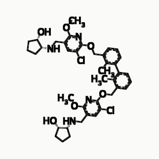 COc1nc(OCc2cccc(-c3cccc(COc4nc(OC)c(CN[C@@H]5CCC[C@@H]5O)cc4Cl)c3C)c2C)c(Cl)cc1CN[C@@H]1CCC[C@@H]1O